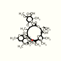 CC[C@H]1OC(=O)[C@H](C)[C@@H](O[C@H]2C[C@@](C)(OC)[C@@H](O)[C@H](C)O2)[C@H](C)[C@@H](O[C@@H]2O[C@H](C)CC(N(C)C)C2O[N+](=O)[O-])[C@](C)(O)C[C@@H](C)CC2(C(C)=O)O[C@H]([C@@H](C)N2C)[C@]1(C)O